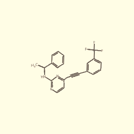 CC(Nc1nccc(C#Cc2cccc(C(F)(F)F)c2)n1)c1ccccc1